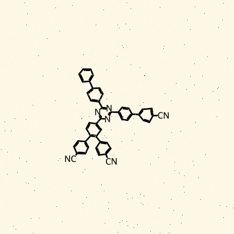 N#Cc1ccc(-c2ccc(-c3nc(-c4ccc(-c5ccccc5)cc4)nc(-c4ccc(-c5ccc(C#N)cc5)c(-c5ccc(C#N)cc5)c4)n3)cc2)cc1